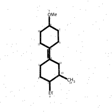 CCC1CCC(=C2CCC(OC)CC2)CC1C